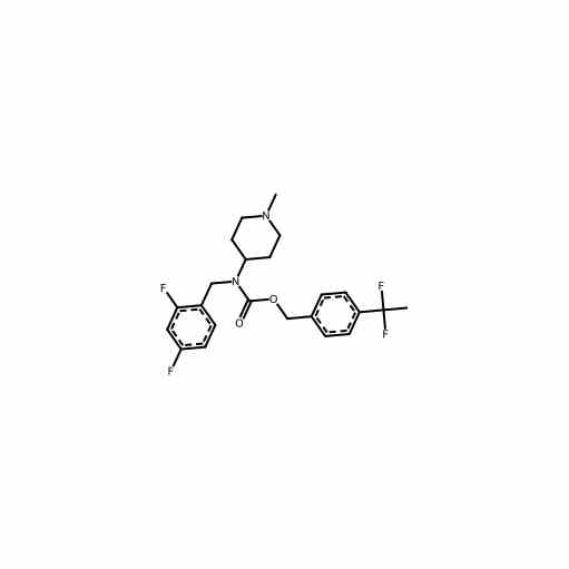 CN1CCC(N(Cc2ccc(F)cc2F)C(=O)OCc2ccc(C(C)(F)F)cc2)CC1